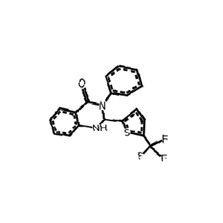 O=C1c2ccccc2NC(c2ccc(C(F)(F)F)s2)N1c1ccccc1